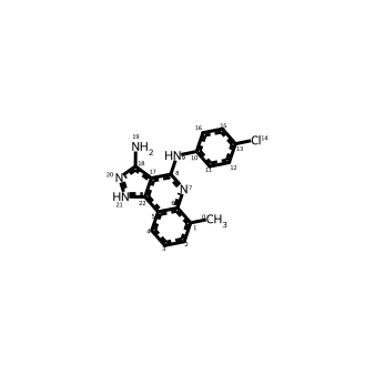 Cc1cccc2c1nc(Nc1ccc(Cl)cc1)c1c(N)n[nH]c12